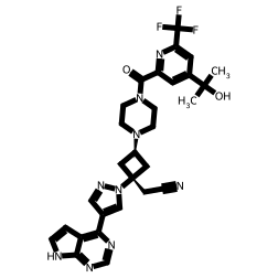 CC(C)(O)c1cc(C(=O)N2CCN([C@H]3C[C@](CC#N)(n4cc(-c5ncnc6[nH]ccc56)cn4)C3)CC2)nc(C(F)(F)F)c1